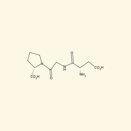 N[C@@H](CC(=O)O)C(=O)NCC(=O)N1CCC[C@H]1C(=O)O